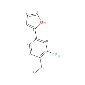 CCc1ccc(-c2ccco2)cc1F